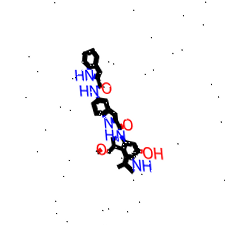 COCC1CN(C(=O)c2cc3cc(NC(=O)c4cc5ccccc5[nH]4)ccc3[nH]2)c2cc(O)c3[nH]cc(C)c3c21